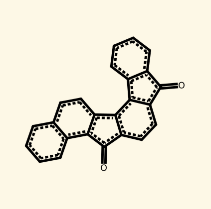 O=c1c2ccccc2c2c1ccc1c(=O)c3c4ccccc4ccc3c12